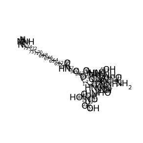 CCCC[C@H](NC(=O)[C@H](CNC(=O)CN(CC(=O)O)CC(=O)O)NC(=O)[C@H](CO)NC(=O)[C@H](CCC(N)=O)NC(=O)[C@H](CO)NC(=O)CNC(=O)COCCOCCNC(=O)CCCCCCCCCCCCCCCc1nnn[nH]1)C(C)=O